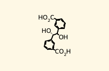 O=C(O)c1cccc(C(O)[C@@H](O)c2cccc(C(=O)O)c2)c1